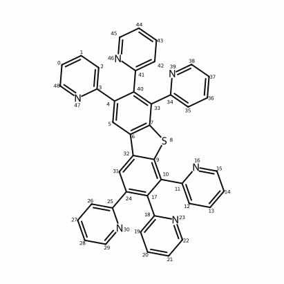 c1ccc(-c2cc3c(sc4c(-c5ccccn5)c(-c5ccccn5)c(-c5ccccn5)cc43)c(-c3ccccn3)c2-c2ccccn2)nc1